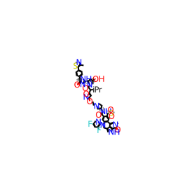 Cc1ncsc1-c1ccc([C@@]2(C)NC([C@@H]3C[C@@H](O)CN3C(=O)C(c3cc(OCCN4CC[C@H](NC(=O)c5cc6c(cc5CS(C)(=O)=O)-c5cn(C)c(=O)c7[nH]cc(c57)CN6c5ncc(F)cc5F)C4)no3)C(C)C)=NC2=O)cc1